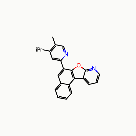 Cc1cnc(-c2cc3ccccc3c3c2oc2ncccc23)cc1C(C)C